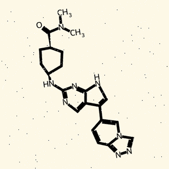 CN(C)C(=O)[C@H]1CC[C@@H](Nc2ncc3c(-c4ccc5nncn5c4)c[nH]c3n2)CC1